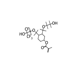 C=C(C)C(=O)OC1CCC(C(C)(C)OC(C)(C)C(O)(C(F)(F)F)C(F)(F)F)C(C(C)(C)OC(C)(C)C(C)(C)O)C1